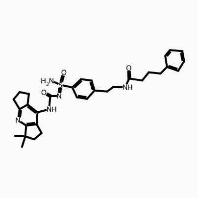 CC1(C)CCc2c1nc1c(c2NC(=O)N=S(N)(=O)c2ccc(CCNC(=O)CCCc3ccccc3)cc2)CCC1